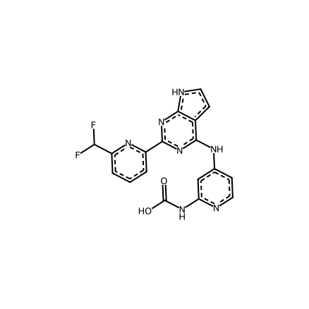 O=C(O)Nc1cc(Nc2nc(-c3cccc(C(F)F)n3)nc3[nH]ccc23)ccn1